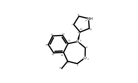 CC1COCN([C@H]2CCNC2)c2ccccc21